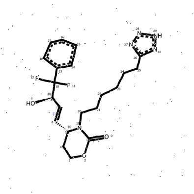 O=C1OCC[C@H](/C=C/[C@@H](O)C(F)(F)c2ccccc2)N1CCCCCCc1nn[nH]n1